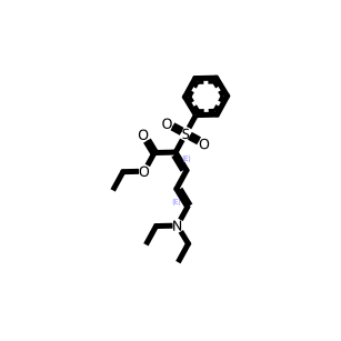 CCOC(=O)/C(=C\C=C\N(CC)CC)S(=O)(=O)c1ccccc1